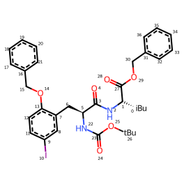 CC[C@@H](C)C(NC(=O)[C@H](Cc1cc(I)ccc1OCc1ccccc1)NC(=O)OC(C)(C)C)C(=O)OCc1ccccc1